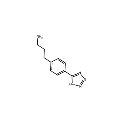 NCCCc1ccc(-c2nnn[nH]2)cc1